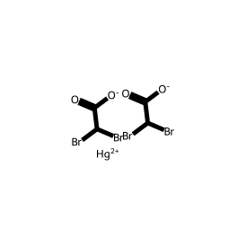 O=C([O-])C(Br)Br.O=C([O-])C(Br)Br.[Hg+2]